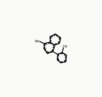 CC(C)(C)c1ccc(-c2ccccc2C#N)c2ccccc12